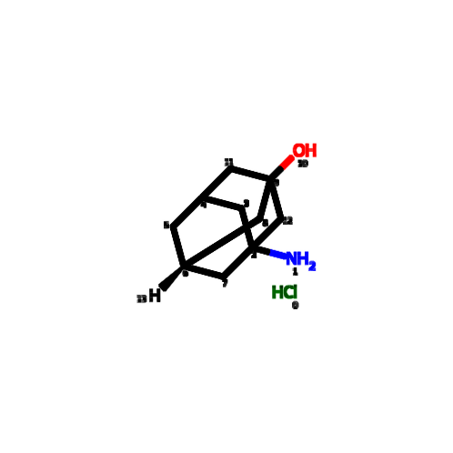 Cl.NC12CC3C[C@@H](C1)CC(O)(C3)C2